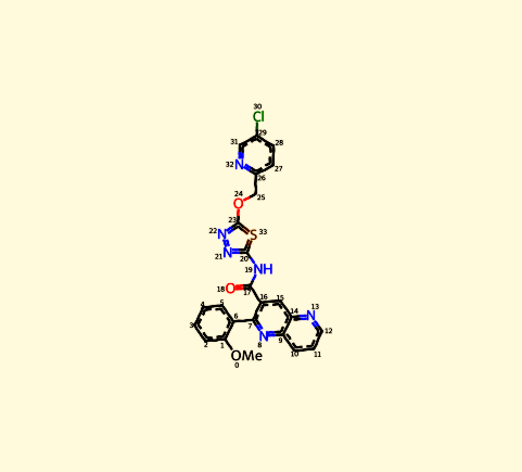 COc1ccccc1-c1nc2cccnc2cc1C(=O)Nc1nnc(OCc2ccc(Cl)cn2)s1